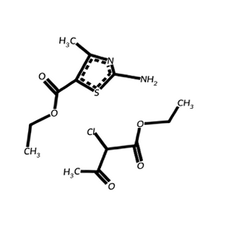 CCOC(=O)C(Cl)C(C)=O.CCOC(=O)c1sc(N)nc1C